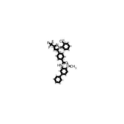 COc1ccc(-c2ccccc2)cc1NC(=O)c1ccc(-c2cc(C(F)(F)F)nn2-c2ccccc2Cl)cc1